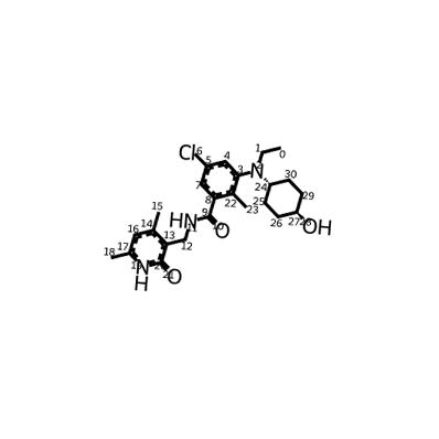 CCN(c1cc(Cl)cc(C(=O)NCc2c(C)cc(C)[nH]c2=O)c1C)[C@H]1CC[C@H](O)CC1